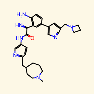 CN1CCCC(Cc2ccc(NC(=O)C(=N)c3cc(-c4cncc(CN5CCC5)c4)ccc3N)cn2)CC1